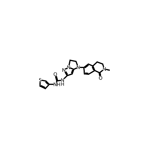 CN1CCc2cc(N3CCn4nc(NC(=O)Nc5ccsc5)cc43)ccc2C1=O